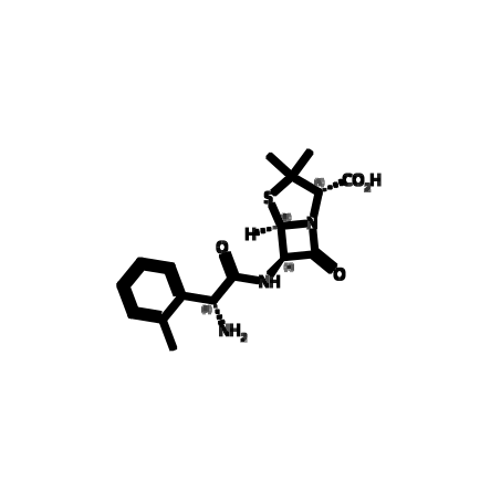 CC1=C=C=C=C=C1[C@@H](N)C(=O)N[C@@H]1C(=O)N2[C@@H]1SC(C)(C)[C@@H]2C(=O)O